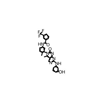 Cc1ccc(NC(=O)c2cccc(C(F)(F)F)c2)cc1-n1c(C)c2cnc(Nc3cccc(O)c3)nc2nc1=O